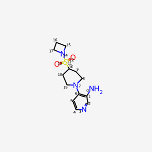 Nc1cnccc1N1CCC(S(=O)(=O)N2CCC2)CC1